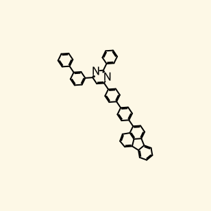 c1ccc(-c2cccc(-c3cc(-c4ccc(-c5ccc(-c6ccc7c8c(cccc68)-c6ccccc6-7)cc5)cc4)nc(-c4ccccc4)n3)c2)cc1